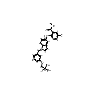 COC(=O)c1cc(Cl)cnc1NC1=CCC2C(=C1)C=CN2Cc1cccc(OCC(F)(F)F)c1